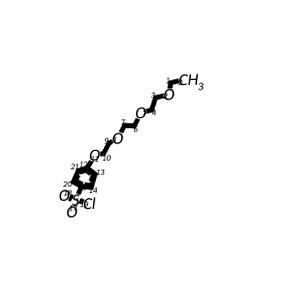 CCOCCOCCOCCOc1ccc(S(=O)(=O)Cl)cc1